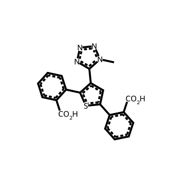 Cn1nnnc1-c1cc(-c2ccccc2C(=O)O)sc1-c1ccccc1C(=O)O